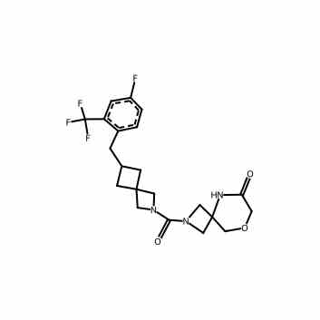 O=C1COCC2(CN(C(=O)N3CC4(CC(Cc5ccc(F)cc5C(F)(F)F)C4)C3)C2)N1